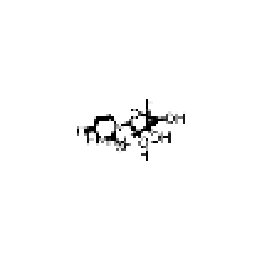 CC1(O)C(n2ccc(=O)[nH]c2=O)OC2(F)C(O)C12O